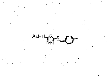 CC(=O)Nc1nnc(SCc2ccc(C)cc2)s1